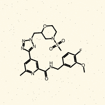 COc1cc(CNC(=O)c2cc(-c3nnn(CC4CN(S(C)(=O)=O)CCO4)n3)cc(C)n2)ccc1F